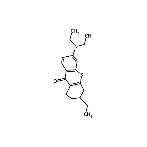 CCC1CCc2c(sc3cc(N(CC)CC)ccc3c2=O)C1